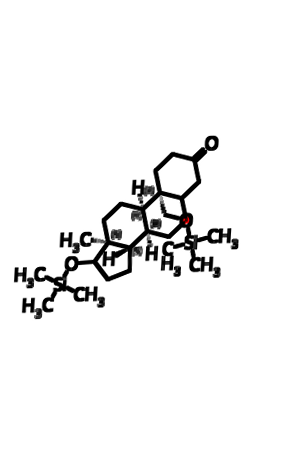 C[C@]12CC[C@@H]3[C@@H](CCC4CC(=O)CC[C@@]43CO[Si](C)(C)C)[C@@H]1CCC2O[Si](C)(C)C